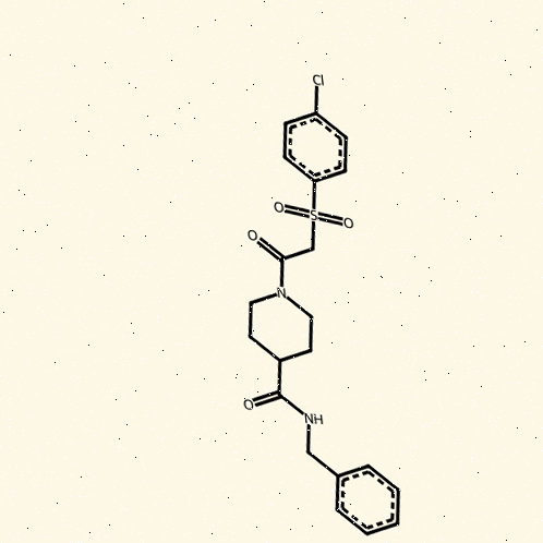 O=C(NCc1ccccc1)C1CCN(C(=O)CS(=O)(=O)c2ccc(Cl)cc2)CC1